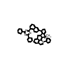 CC1(C)c2cccc(-c3ccc4c(-c5nc(-c6ccccc6)nc(-c6ccccc6)n5)cccc4c3)c2-c2cc3cccc4c3c(c21)N(c1ccccc1)C=C4